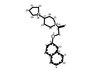 C=C(COc1ccc2ccccc2c1)N1CCC(N2CCCC2)CC1